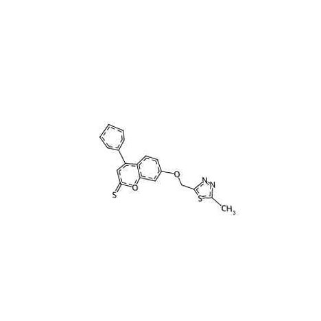 Cc1nnc(COc2ccc3c(-c4ccccc4)cc(=S)oc3c2)s1